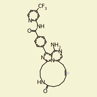 Nc1ncc2n3c(nc(-c4ccc(C(=O)Nc5cc(C(F)(F)F)ccn5)cc4)c13)CCCNC(=O)CCC/C=C\C2